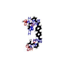 COC(=O)N[C@@H](Cc1c[nH]nn1)C(=O)N1CCCC1c1ncc(-c2ccc(-c3ccc(-c4cnc([C@@H]5CCCN5C(=O)[C@H](C(C)C)N(C)C(=O)O)[nH]4)cc3)cc2)[nH]1